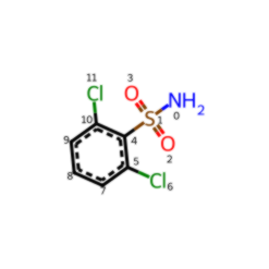 NS(=O)(=O)c1c(Cl)cccc1Cl